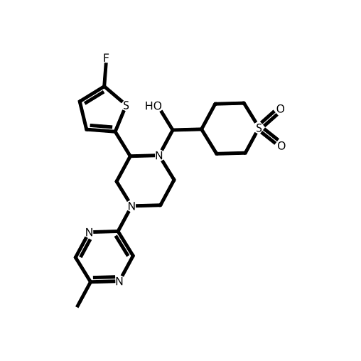 Cc1cnc(N2CCN(C(O)C3CCS(=O)(=O)CC3)C(c3ccc(F)s3)C2)cn1